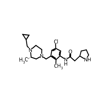 Cc1c(CN2CCN(CC3CC3)[C@@H](C)C2)cc(Cl)cc1NC(=O)CC1CCCN1